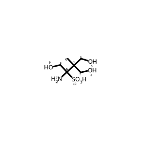 CC(CO)(CO)C(N)(CO)S(=O)(=O)O